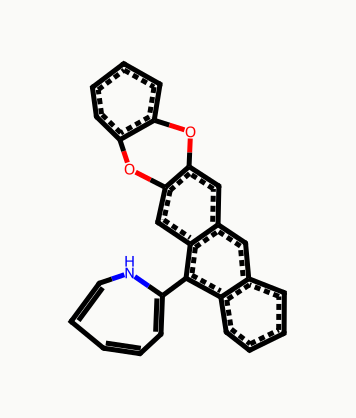 C1=CC=C(c2c3ccccc3cc3cc4c(cc23)Oc2ccccc2O4)NC=C1